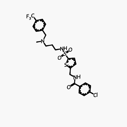 CN(CCCNS(=O)(=O)c1ccc(CNC(=O)c2ccc(Cl)cc2)s1)Cc1ccc(C(F)(F)F)cc1